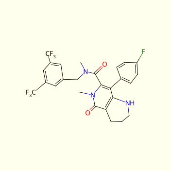 CN(Cc1cc(C(F)(F)F)cc(C(F)(F)F)c1)C(=O)c1c(-c2ccc(F)cc2)c2c(c(=O)n1C)CCCN2